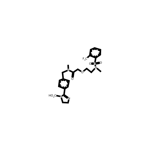 CN(Cc1ccc(C2=NCCN2C(=O)O)cc1)C(=O)COCCN(C)S(=O)(=O)c1ccccc1C(F)(F)F